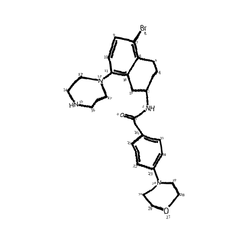 O=C(NC1CCc2c(Br)ccc(N3CCNCC3)c2C1)c1ccc(N2CCOCC2)cc1